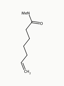 C=CCCCCC(=O)NC